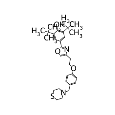 CC(C)(C)c1cc(-c2nc(CCOc3ccc(CN4CCSCC4)cc3)co2)cc(C(C)(C)C)c1O